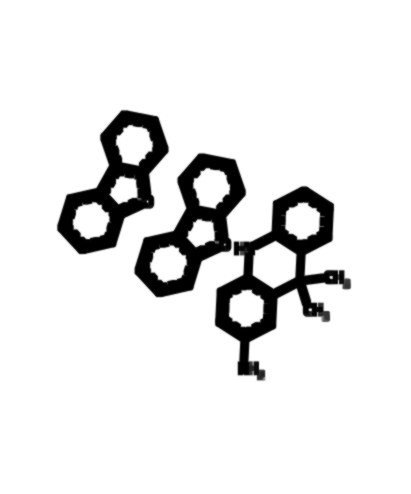 CC1(C)c2ccccc2Nc2ccc(N)cc21.c1ccc2c(c1)oc1ccccc12.c1ccc2c(c1)oc1ccccc12